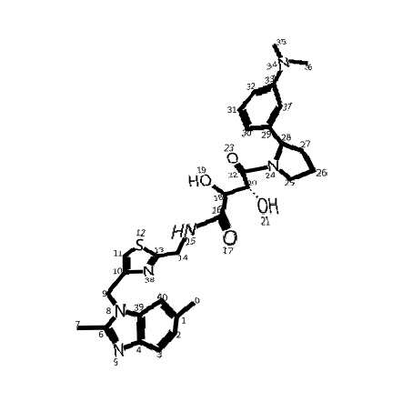 Cc1ccc2nc(C)n(Cc3csc(CNC(=O)C(O)[C@@H](O)C(=O)N4CCCC4c4cccc(N(C)C)c4)n3)c2c1